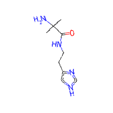 CC(C)(N)C(=O)NCCc1c[nH]cn1